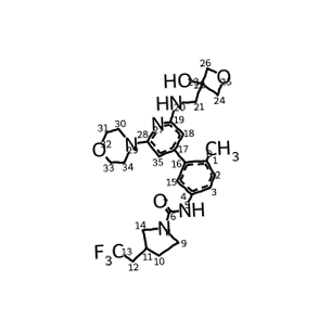 Cc1ccc(NC(=O)N2CCC(CC(F)(F)F)C2)cc1-c1cc(NCC2(O)COC2)nc(N2CCOCC2)c1